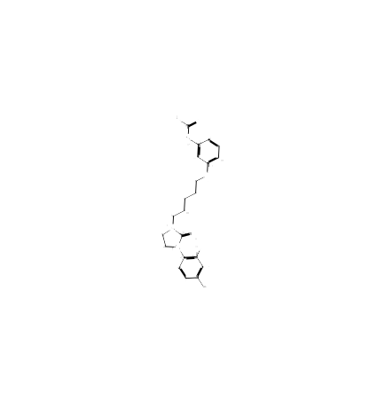 Cc1ccc(N2CCN(CCCCCOc3cccc(NC(N)=S)c3)C2=O)c(Cl)c1